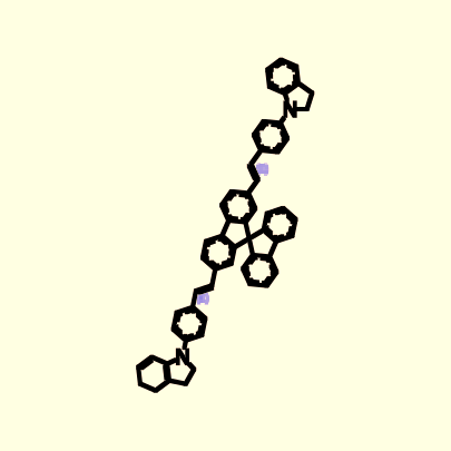 C1=CC2=C(CC1)CCN2c1ccc(/C=C/c2ccc3c(c2)C2(c4ccccc4-c4ccccc42)c2cc(/C=C/c4ccc(N5CCc6ccccc65)cc4)ccc2-3)cc1